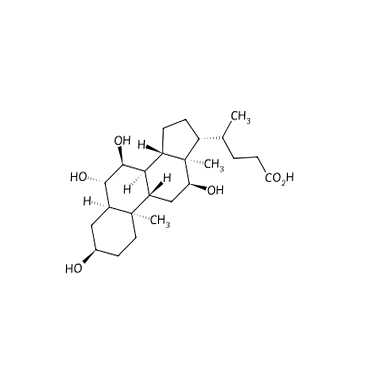 CC(CCC(=O)O)[C@H]1CC[C@H]2[C@@H]3[C@H](O)[C@@H](O)[C@@H]4C[C@H](O)CC[C@]4(C)[C@H]3C[C@H](O)[C@]12C